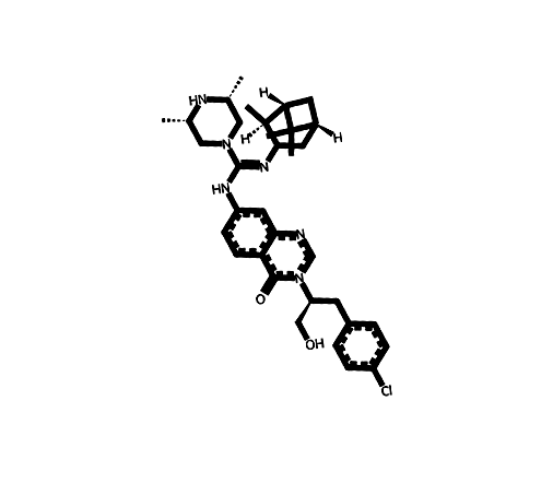 C[C@@H]1CN(C(=NC2C[C@H]3C[C@@H]([C@@H]2C)C3(C)C)Nc2ccc3c(=O)n([C@H](CO)Cc4ccc(Cl)cc4)cnc3c2)C[C@H](C)N1